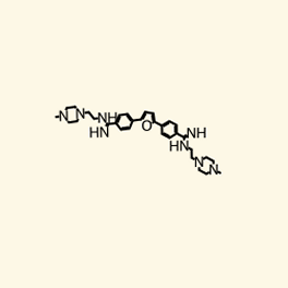 CN1CCN(CCNC(=N)c2ccc(-c3ccc(-c4ccc(C(=N)NCCN5CCN(C)CC5)cc4)o3)cc2)CC1